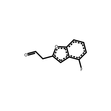 O=CCc1cc2c(F)cccc2o1